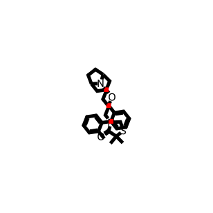 Cc1ccccc1-c1ccccc1COC1CC2CCC(C1)N2CCCCN1CSC(C)(C)C1=O